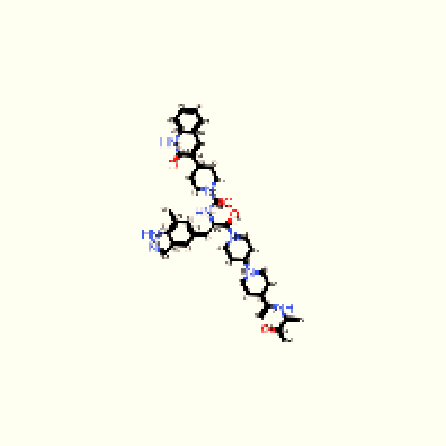 C=C(NC(=C)C1CCN(C2CCN(C(=O)[C@@H](Cc3cc(C)c4[nH]ncc4c3)NC(=O)N3CCC(c4cc5ccccc5[nH]c4=O)CC3)CC2)CC1)C(C)=O